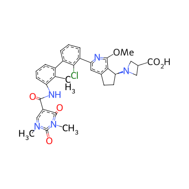 COc1nc(-c2cccc(-c3cccc(NC(=O)c4cn(C)c(=O)n(C)c4=O)c3C)c2Cl)cc2c1[C@@H](N1CC(C(=O)O)C1)CC2